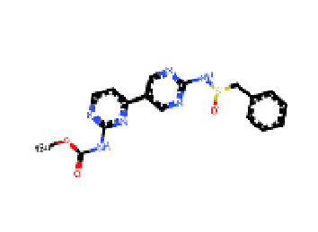 CC(C)(C)OC(=O)Nc1nccc(-c2cnc(N[S+]([O-])Cc3ccccc3)nc2)n1